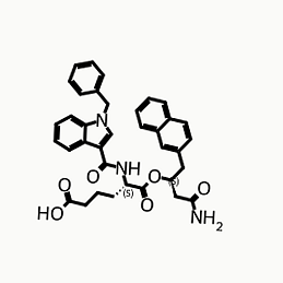 NC(=O)C[C@H](Cc1ccc2ccccc2c1)OC(=O)[C@H](CCCC(=O)O)NC(=O)c1cn(Cc2ccccc2)c2ccccc12